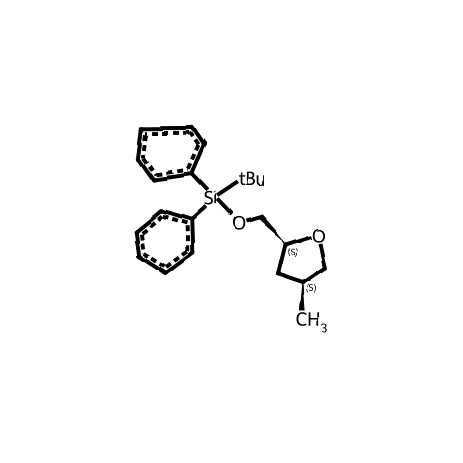 C[C@@H]1CO[C@H](CO[Si](c2ccccc2)(c2ccccc2)C(C)(C)C)C1